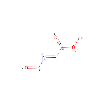 COC(=O)/C=N/[C]=O